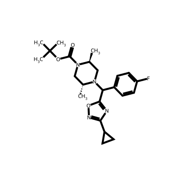 C[C@@H]1CN(C(=O)OC(C)(C)C)[C@@H](C)CN1C(c1ccc(F)cc1)c1nc(C2CC2)no1